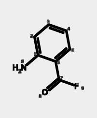 Nc1ccccc1C(=O)F